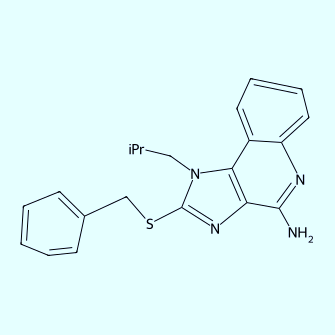 CC(C)Cn1c(SCc2ccccc2)nc2c(N)nc3ccccc3c21